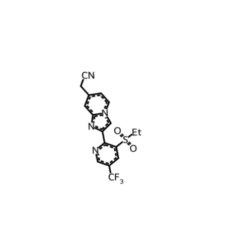 CCS(=O)(=O)c1cc(C(F)(F)F)cnc1-c1cn2ccc(CC#N)cc2n1